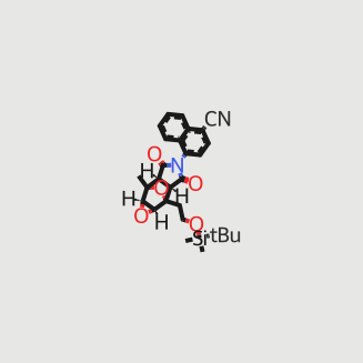 CC12OC(CCO[Si](C)(C)C(C)(C)C)([C@@H]3C(=O)N(c4ccc(C#N)c5ccccc45)C(=O)[C@@H]31)[C@H]1O[C@H]12